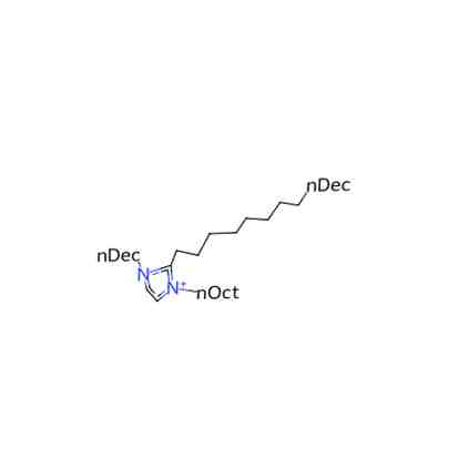 CCCCCCCCCCCCCCCCCCc1n(CCCCCCCCCC)cc[n+]1CCCCCCCC